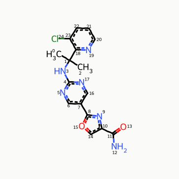 CC(C)(Nc1ncc(-c2nc(C(N)=O)co2)cn1)c1ncccc1Cl